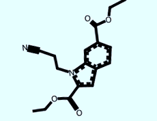 CCOC(=O)c1ccc2cc(C(=O)OCC)n(CCC#N)c2c1